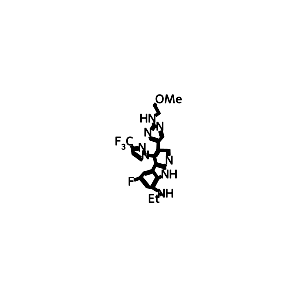 CCNc1cc(F)cc2c1[nH]c1ncc(-c3cnc(NCCOC)nc3)c(-n3ccc(C(F)(F)F)n3)c12